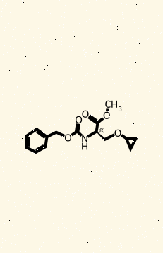 COC(=O)[C@@H](COC1CC1)NC(=O)OCc1ccccc1